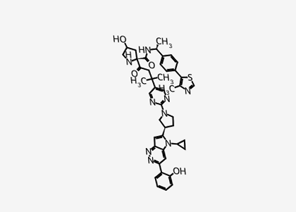 Cc1ncsc1-c1ccc([C@H](C)NC(=O)[C@]2(C(=O)CC(C)(C)c3cnc(N4CC[C@@H](c5cc6nnc(-c7ccccc7O)cc6n5C5CC5)C4)nc3)CC(O)CN2)cc1